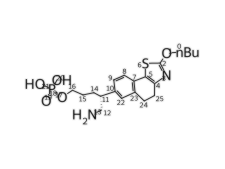 CCCCOc1nc2c(s1)-c1ccc([C@H](CN)CCCOP(=O)(O)O)cc1CC2